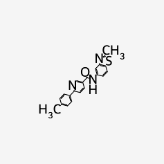 Cc1ccc(-c2ccc(C(=O)Nc3ccc4sc(C)nc4c3)cn2)cc1